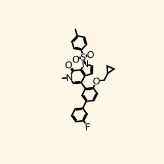 Cc1ccc(S(=O)(=O)n2ccc3c(-c4cc(-c5cccc(F)c5)ccc4OCC4CC4)cn(C)c(=O)c32)cc1